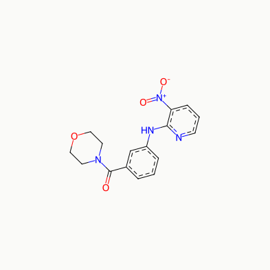 O=C(c1cccc(Nc2ncccc2[N+](=O)[O-])c1)N1CCOCC1